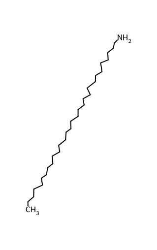 CCCCCCCCCCCCCCCCCCCCCCCCCCCCCCN